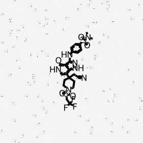 CN(C)S(=O)(=O)c1ccc(Nc2n[nH]c3c(C4(CC#N)CCN(S(=O)(=O)CC(F)(F)F)CC4)c[nH]c(=O)c23)cc1